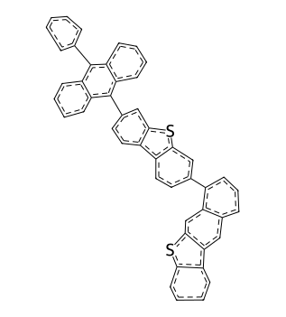 c1ccc(-c2c3ccccc3c(-c3ccc4c(c3)sc3cc(-c5cccc6cc7c(cc56)sc5ccccc57)ccc34)c3ccccc23)cc1